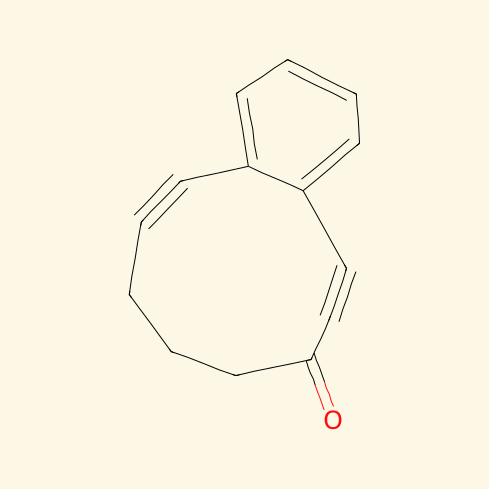 O=C1C#Cc2ccccc2C#CCCC1